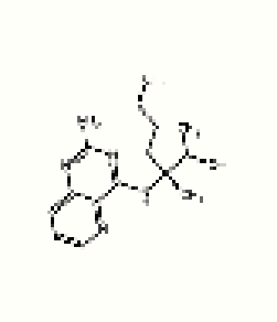 CCCC[C@@](C)(Nc1nc(N)nc2cccnc12)C(C)O